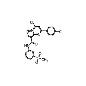 CS(=O)(=O)c1cccc(NC(=O)c2cnn3c(Cl)cc(-c4ccc(Cl)cc4)nc23)c1